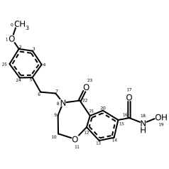 COc1ccc(CCN2CCOc3ccc(C(=O)NO)cc3C2=O)cc1